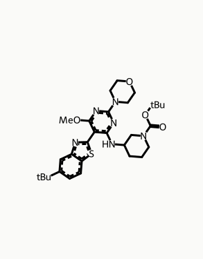 COc1nc(N2CCOCC2)nc(NC2CCCN(C(=O)OC(C)(C)C)C2)c1-c1nc2cc(C(C)(C)C)ccc2s1